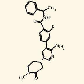 CC(NC(=O)c1ccc(-c2cc([C@H]3CCN(C)C(=O)C3)cnc2N)cc1F)c1ccccc1